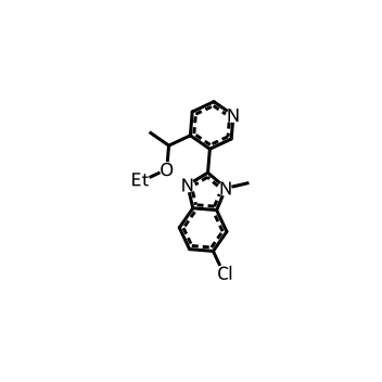 CCOC(C)c1ccncc1-c1nc2ccc(Cl)cc2n1C